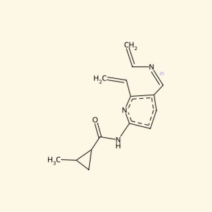 C=C/N=C\c1ccc(NC(=O)C2CC2C)nc1C=C